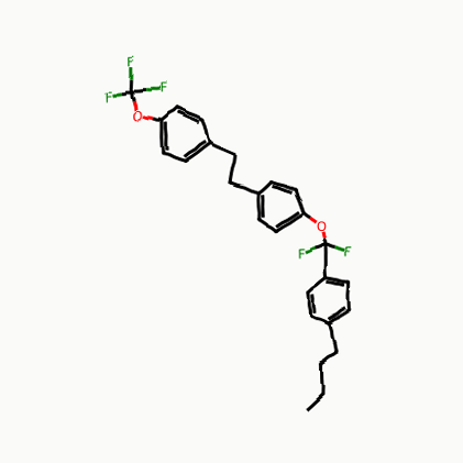 CCCCc1ccc(C(F)(F)Oc2ccc(CCc3ccc(OC(F)(F)F)cc3)cc2)cc1